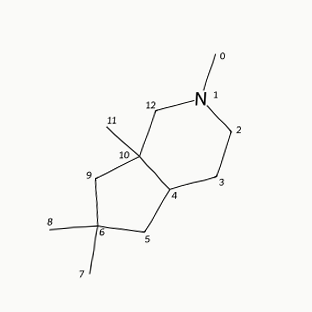 CN1CCC2CC(C)(C)CC2(C)C1